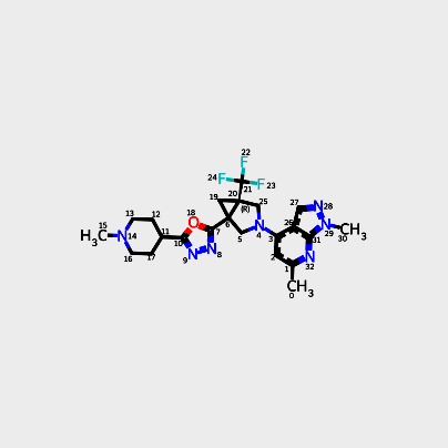 Cc1cc(N2CC3(c4nnc(C5CCN(C)CC5)o4)C[C@]3(C(F)(F)F)C2)c2cnn(C)c2n1